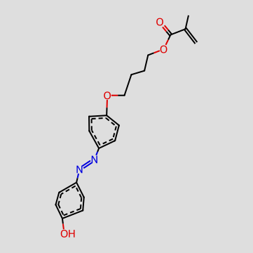 C=C(C)C(=O)OCCCCOc1ccc(N=Nc2ccc(O)cc2)cc1